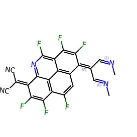 C\N=C/C(/C=N/C)=c1\c(F)c(F)c2c(F)nc3c(=C(C#N)C#N)c(F)c(F)c4c(F)cc1c2c43